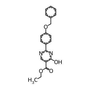 CCOC(=O)c1cnc(-c2ccc(OCc3ccccc3)cc2)nc1O